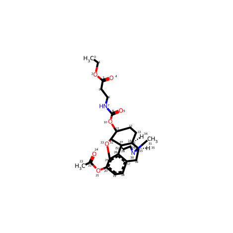 CCOC(=O)CCNC(=O)OC1CC[C@H]2[C@H]3Cc4ccc(OC(C)=O)c5c4[C@@]2(CCN3C)C1O5